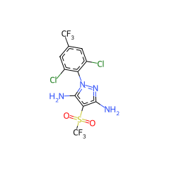 Nc1nn(-c2c(Cl)cc(C(F)(F)F)cc2Cl)c(N)c1S(=O)(=O)C(F)(F)F